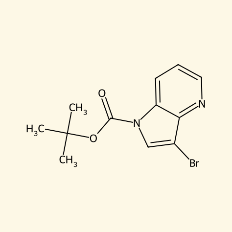 CC(C)(C)OC(=O)n1cc(Br)c2ncccc21